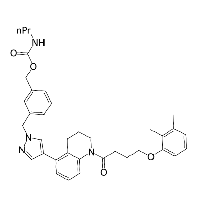 CCCNC(=O)OCc1cccc(Cn2cc(-c3cccc4c3CCCN4C(=O)CCCOc3cccc(C)c3C)cn2)c1